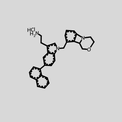 Cl.NCCc1cn(Cc2cccc3c2C2COCCN32)c2ccc(-c3cccc4ccccc34)cc12